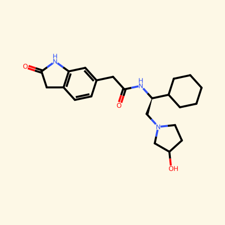 O=C1Cc2ccc(CC(=O)N[C@H](CN3CCC(O)C3)C3CCCCC3)cc2N1